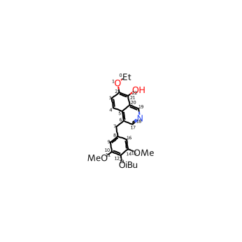 CCOc1ccc2c(Cc3cc(OC)c(OCC(C)C)c(OC)c3)cncc2c1O